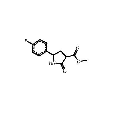 COC(=O)C1CC(c2ccc(F)cc2)NC1=O